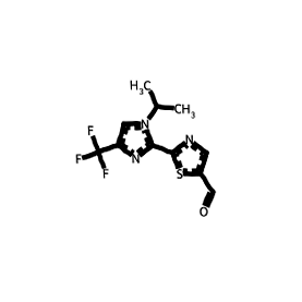 CC(C)n1cc(C(F)(F)F)nc1-c1ncc(C=O)s1